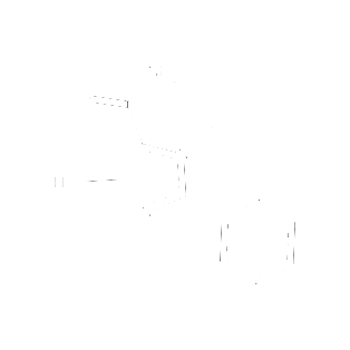 Cc1nc(-c2ccccc2)n(C)c1C(N)=O